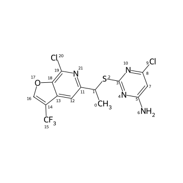 CC(Sc1nc(N)cc(Cl)n1)c1cc2c(C(F)(F)F)coc2c(Cl)n1